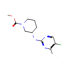 COc1nc(N[C@@H]2CCCN(C(=O)OC(C)(C)C)C2)ncc1Cl